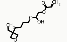 C=CC(=O)OCC(O)OCCCCC1(CC)COC1